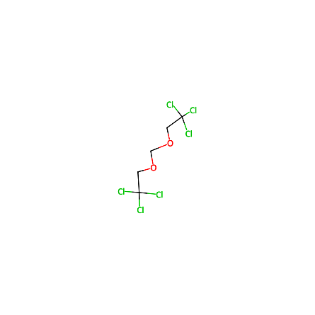 ClC(Cl)(Cl)COCOCC(Cl)(Cl)Cl